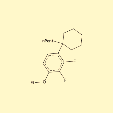 CCCCCC1(c2ccc(OCC)c(F)c2F)CCCCC1